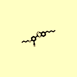 CCCCCc1ccc(OC(=O)c2ccc(OCCCC)c(C#N)c2)c(Cl)c1